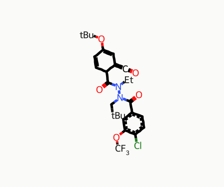 CCN(C(=O)C1C=CC(OC(C)(C)C)=CC1=C=O)N(CC(C)(C)C)C(=O)c1ccc(Cl)c(OC(F)(F)F)c1